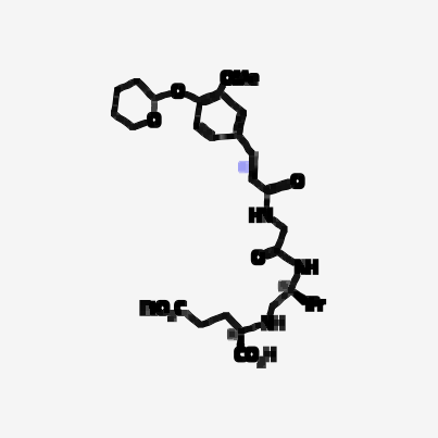 CCOC(=O)CC[C@@H](NC[C@@H](NC(=O)CNC(=O)/C=C/c1ccc(OC2CCCCO2)c(OC)c1)C(C)C)C(=O)O